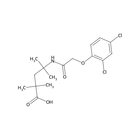 CC(C)(CC(C)(C)C(=O)O)NC(=O)COc1ccc(Cl)cc1Cl